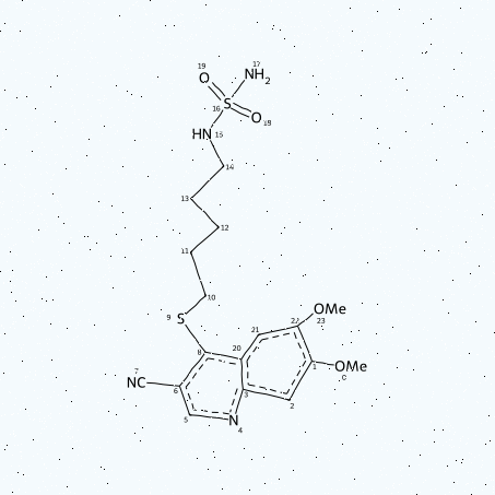 COc1cc2ncc(C#N)c(SCCCCCNS(N)(=O)=O)c2cc1OC